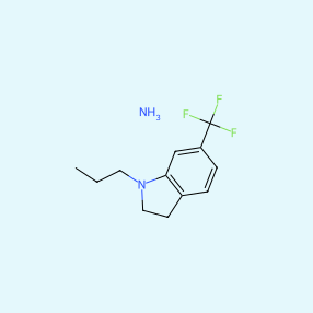 CCCN1CCc2ccc(C(F)(F)F)cc21.N